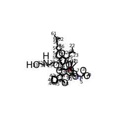 COC(=O)/C(C)=C\CC12OC(C)(C)C(C)C13Oc1c(CC=C(C)C)c4c(c(OCCNCCO)c1C1=C3C(C3=C(O1)c1ccccc1C3=O)C(C)C2=O)C=CC(C)(CCC=C(C)C)O4